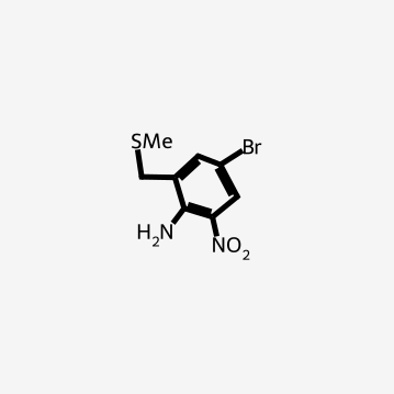 CSCc1cc(Br)cc([N+](=O)[O-])c1N